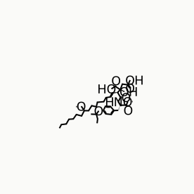 CCCCCCCC(CCCCCCC=C[C@H](C(=O)N[C@@H](Cc1ccc(OC(C)CC)cc1)C(=O)OC)[C@@](O)(CC(=O)O)C(=O)O)OC